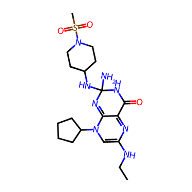 CCNC1=CN(C2CCCC2)C2=NC(N)(NC3CCN(S(C)(=O)=O)CC3)NC(=O)C2=N1